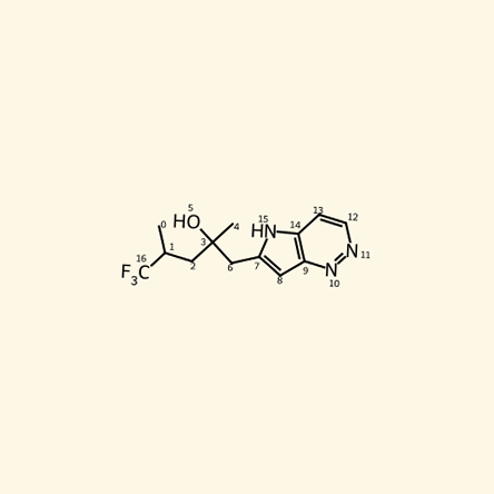 CC(CC(C)(O)Cc1cc2nnccc2[nH]1)C(F)(F)F